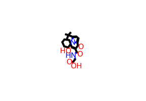 CC(C)(C)c1ccc2n1C1(CCCCC1)C(O)=C(C(=O)NCC(=O)O)C2=O